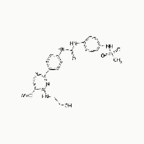 COc1cnc(-c2ccc(NC(=O)Nc3ccc(NS(C)(=O)=O)cc3)cc2)nc1NCCO